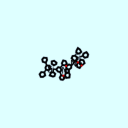 c1ccc(-c2cc(-c3ccccc3)cc([Si](c3ccccc3)(c3ccccc3)c3cc(-c4ccccc4)c(-n4c5ccccc5c5cc(-n6c7ccccc7c7c([Si](c8ccccc8)(c8ccccc8)c8ccccc8)cccc76)ccc54)c(-c4ccccc4)c3)c2)cc1